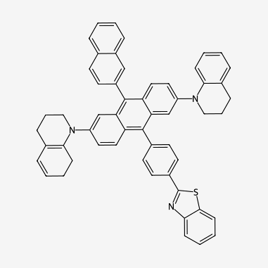 C1=CC2=C(CC1)N(c1ccc3c(-c4ccc(-c5nc6ccccc6s5)cc4)c4cc(N5CCCc6ccccc65)ccc4c(-c4ccc5ccccc5c4)c3c1)CCC2